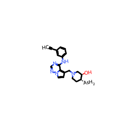 C#Cc1cccc(Nc2ncnn3ccc(CN4CC[C@@H]([AsH2])[C@H](O)C4)c23)c1